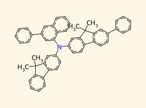 CC1(C)c2ccccc2-c2ccc(N(c3ccc4c(c3)C(C)(C)c3cc(-c5ccccc5)ccc3-4)c3cc(-c4ccccc4)cc4ccccc34)cc21